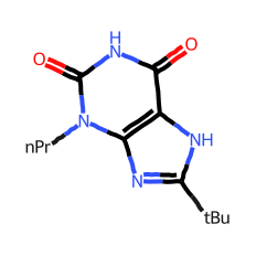 CCCn1c(=O)[nH]c(=O)c2[nH]c(C(C)(C)C)nc21